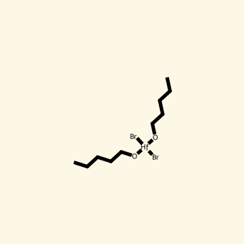 CCCCC[O][Hf]([Br])([Br])[O]CCCCC